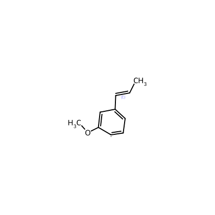 C/C=C/c1cc[c]c(OC)c1